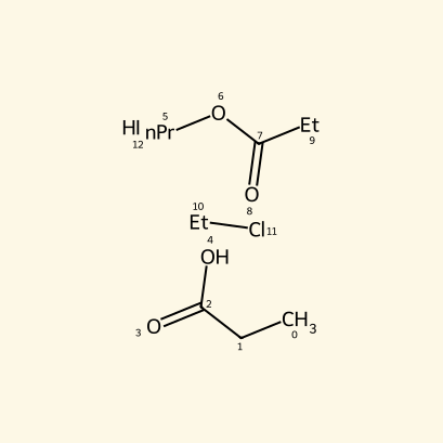 CCC(=O)O.CCCOC(=O)CC.CCCl.I